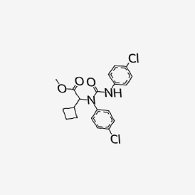 COC(=O)C(C1CCC1)N(C(=O)Nc1ccc(Cl)cc1)c1ccc(Cl)cc1